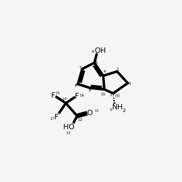 N[C@H]1CCc2c(O)cccc21.O=C(O)C(F)(F)F